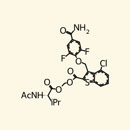 CC(=O)N[C@H](C(=O)OCOC(=O)c1sc2cccc(Cl)c2c1COc1c(F)cc(C(N)=O)cc1F)C(C)C